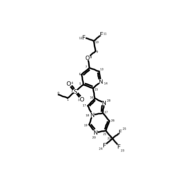 CCS(=O)(=O)c1cc(OCC(F)F)cnc1-c1cn2cnc(C(F)(F)F)cc2n1